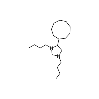 CCCCN1CC(C2CCCCCCCC2)N(CCCC)C1